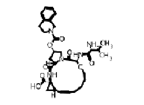 CC(C)[C@@H](N)C(=O)N[C@H]1CCCCC/C=C\[C@@H]2C[C@@]2(C(=O)O)NC(=O)[C@@H]2C[C@@H](OC(=O)N3CCc4ccccc4C3)CN2C1=O